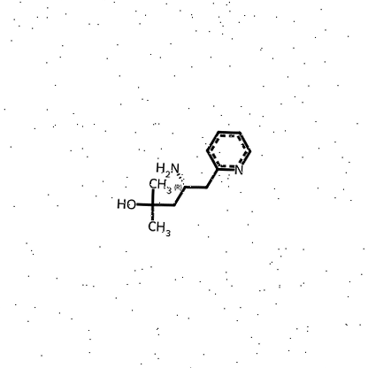 CC(C)(O)C[C@H](N)Cc1ccccn1